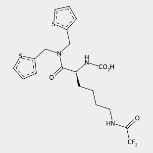 O=C(O)N[C@@H](CCCCNC(=O)C(F)(F)F)C(=O)N(Cc1cccs1)Cc1cccs1